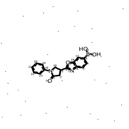 O=C1CC(c2nc3ccc(B(O)O)cc3o2)CN1c1ccccc1